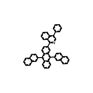 c1ccc(-c2cnc(-c3ccc4c(-c5ccc6ccccc6c5)c5ccccc5c(-c5ccc6ccccc6c5)c4c3)c3ccccc23)cc1